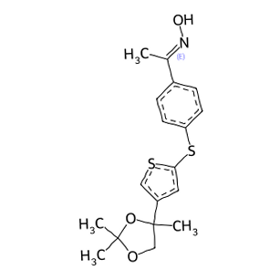 C/C(=N\O)c1ccc(Sc2cc(C3(C)COC(C)(C)O3)cs2)cc1